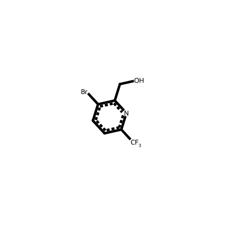 OCc1nc(C(F)(F)F)ccc1Br